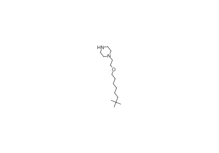 CC(C)(C)CCCCCCOCCN1CCNCC1